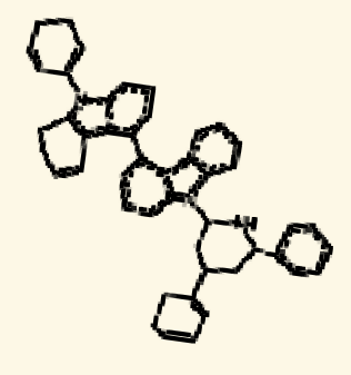 C1=CCCC(C2CC(c3ccccc3)NC(n3c4ccccc4c4c(-c5cccc6c5c5c(n6C6=CCCC=C6)CCC=C5)cccc43)C2)=C1